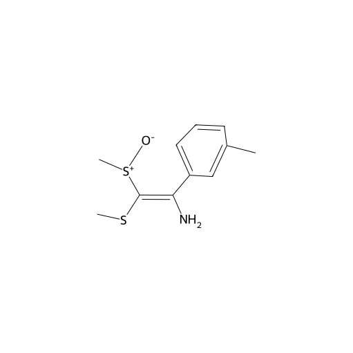 CSC(=C(N)c1cccc(C)c1)[S+](C)[O-]